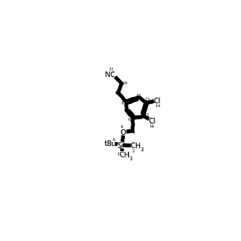 CC(C)(C)[Si](C)(C)OCc1cc(CCC#N)cc(Cl)c1Cl